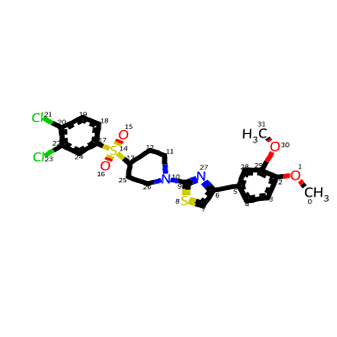 COc1ccc(-c2csc(N3CCC(S(=O)(=O)c4ccc(Cl)c(Cl)c4)CC3)n2)cc1OC